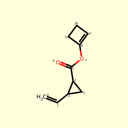 C=CC1CC1C(=O)OC1=CCC1